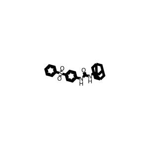 O=C(Nc1ccc(S(=O)(=O)c2ccccc2)cc1)NC12CC3CC(CC(C3)C1)C2